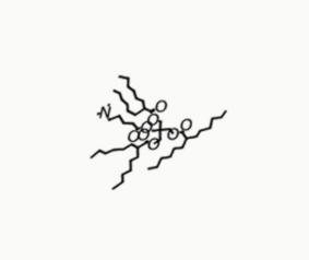 CCCCCCC(CCCCCC)C(=O)OCC(COC(=O)CCCCN(C)C)(COC(=O)C(CCCCCC)CCCCCC)COC(=O)C(CCCCCC)CCCCCC